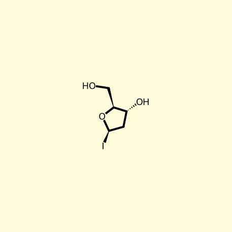 OC[C@@H]1O[C@H](I)C[C@H]1O